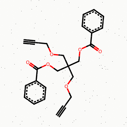 C#CCOCC(COCC#C)(COC(=O)c1ccccc1)COC(=O)c1ccccc1